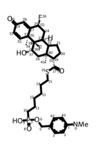 CNc1ccc(COP(=O)(O)CCCCCCSC(=O)[C@H]2CCC3[C@@H]4C[C@H](F)C5=CC(=O)C=C[C@]5(C)[C@@]4(F)[C@@H](O)C[C@@]32C)cc1